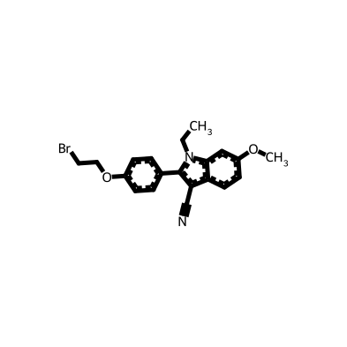 CCn1c(-c2ccc(OCCBr)cc2)c(C#N)c2ccc(OC)cc21